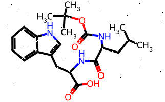 CC(C)CC(NC(=O)OC(C)(C)C)C(=O)NC(Cc1c[nH]c2ccccc12)C(=O)O